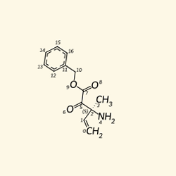 C=C[C@](C)(N)C(=O)C(=O)OCc1ccccc1